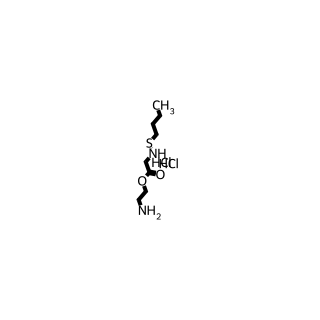 CCCCSNCC(=O)OCCN.Cl.Cl